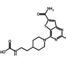 Cc1nc(N2CCC(CCNC(=O)O)CC2)c2sc(C(N)=O)cc2n1